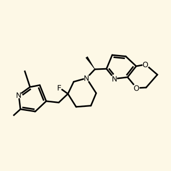 Cc1cc(CC2(F)CCCN([C@@H](C)c3ccc4c(n3)OCCO4)C2)cc(C)n1